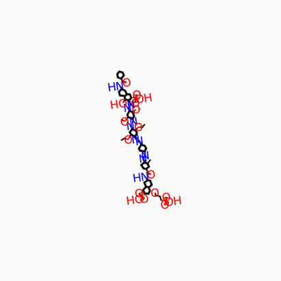 CCOc1cc(N=Nc2cc(OC)c(N=Nc3c(S(=O)(=O)O)cc4cc(NC(=O)c5ccccc5)ccc4c3O)cc2OC)c(OCC)cc1N=Nc1ccc(N=Nc2ccc(C(=O)Nc3ccc4c(OCCCS(=O)(=O)O)cc(S(=O)(=O)O)cc4c3)cc2C)cc1